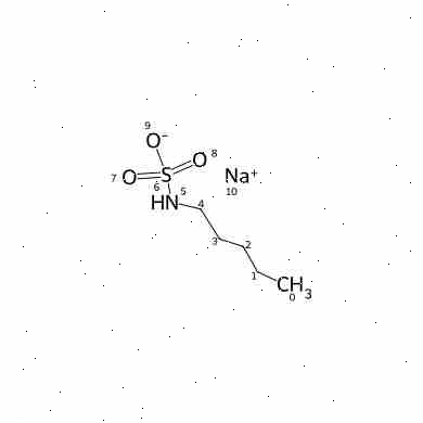 CCCCCNS(=O)(=O)[O-].[Na+]